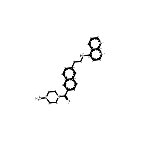 CN1CCN(C(=O)c2ccc3cc(CCNc4ccnc5ncccc45)ccc3c2)CC1